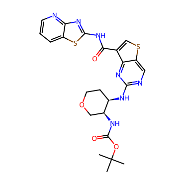 CC(C)(C)OC(=O)N[C@H]1COCC[C@H]1Nc1ncc2scc(C(=O)Nc3nc4ncccc4s3)c2n1